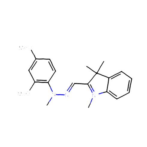 COc1ccc(N(C)/N=C/C2=[N+](C)c3ccccc3C2(C)C)c(OC)c1